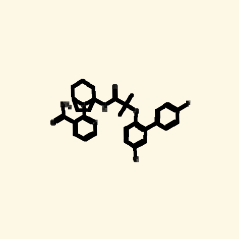 CC(C)(Oc1ccc(Cl)cc1-c1ccc(F)cc1)C(=O)NC12CCCC(CC1)N2c1ncccc1C(N)=O